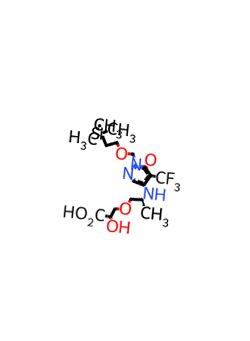 C[C@@H](COCC(O)C(=O)O)Nc1cnn(COCC[Si](C)(C)C)c(=O)c1C(F)(F)F